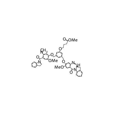 C=Nc1cc(OCc2cc(COc3cc4c(cc3OC)C(=O)N3c5ccccc5C[C@H]3C=N4)cc(OCCCC(=O)OC)c2)c(OC)cc1C(=O)N1CCc2ccccc21